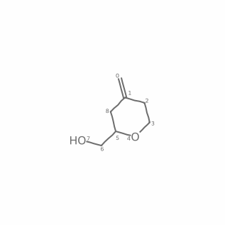 C=C1CCOC(CO)C1